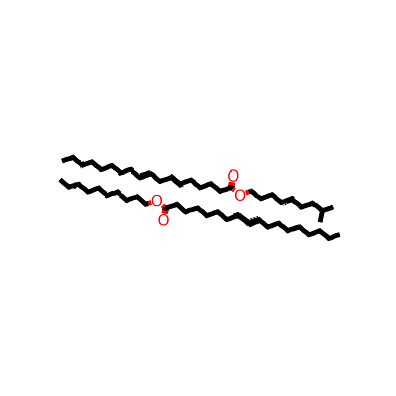 CCCCCCCCC=CCCCCCCCC(=O)OCCCCCCCC(C)C.CCCCCCCCC=CCCCCCCCC(=O)OCCCCCCCCCC